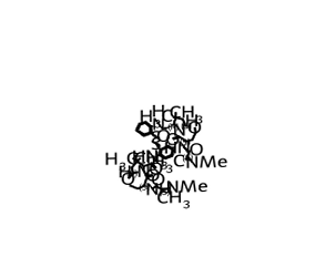 CN[C@@H](C)C(=O)N[C@H]1CCO[C@H]2CC(C)(C)C(C(=O)Nc3ccccc3SSc3ccccc3NC(=O)[C@@H]3N4C(=O)[C@@H](NC(=O)[C@H](C)NC)CCO[C@H]4CC3(C)C)N2C1=O